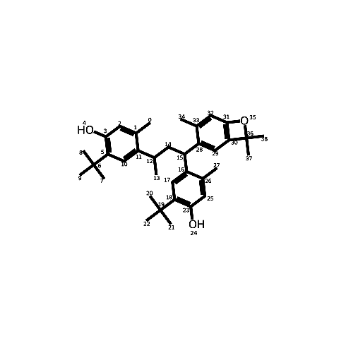 Cc1cc(O)c(C(C)(C)C)cc1C(C)CC(c1cc(C(C)(C)C)c(O)cc1C)c1cc2c(cc1C)OC2(C)C